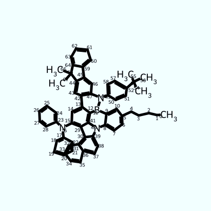 CCCCCc1ccc2c(c1)B1c3c(cc(N(c4ccccc4)c4ccccc4)c4c5c6ccccc6ccc5n-2c34)-c2cc3c(cc2N1c1ccc(C(C)(C)C)cc1)-c1ccccc1C3(C)C